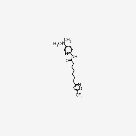 CN(C)c1ccc(NC(=O)CCCCCCc2noc(C(F)(F)F)n2)nc1